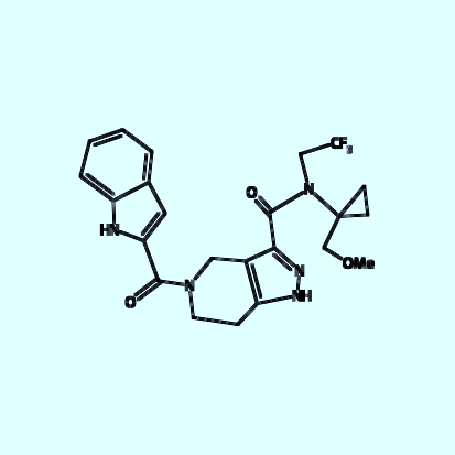 COCC1(N(CC(F)(F)F)C(=O)c2n[nH]c3c2CN(C(=O)c2cc4ccccc4[nH]2)CC3)CC1